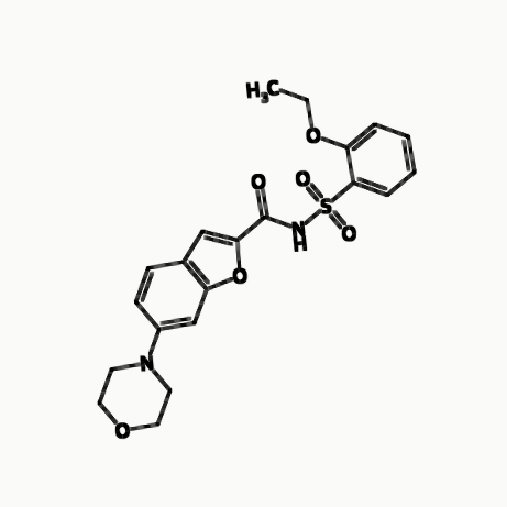 CCOc1ccccc1S(=O)(=O)NC(=O)c1cc2ccc(N3CCOCC3)cc2o1